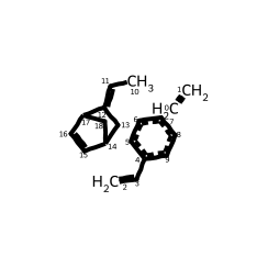 C=C.C=Cc1ccccc1.CC=C1CC2C=CC1C2